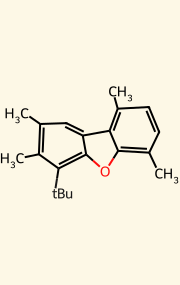 Cc1cc2c(oc3c(C)ccc(C)c32)c(C(C)(C)C)c1C